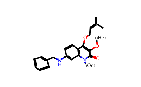 CCCCCCCCn1c(=O)c(OCCCCCC)c(OCC=C(C)C)c2ccc(NCc3ccccc3)cc21